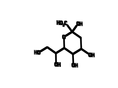 O=C(O)C1(O)CC(O)C(O)C(C(O)CO)O1